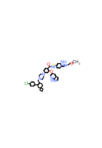 COCCN/C=C1/C=CC(SNC(=O)c2ccc(N3CCN(CC4=C(c5ccc(Cl)cc5)CC5(CCC5)CC4)CC3)cc2Oc2cnc3[nH]ccc3c2)=CC1=N